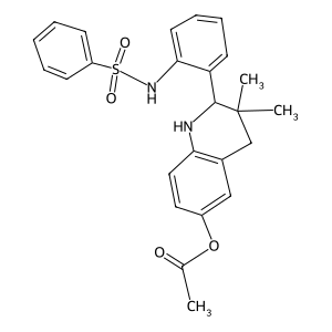 CC(=O)Oc1ccc2c(c1)CC(C)(C)C(c1ccccc1NS(=O)(=O)c1ccccc1)N2